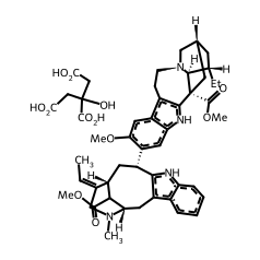 C/C=C1/CN(C)[C@H]2Cc3c([nH]c4ccccc34)[C@@H](c3cc4[nH]c5c(c4cc3OC)CC[N@@]3C[C@@H]4C[C@H](CC)[C@H]3[C@@]5(C(=O)OC)C4)C[C@@H]1C2C(=O)OC.O=C(O)CC(O)(CC(=O)O)C(=O)O